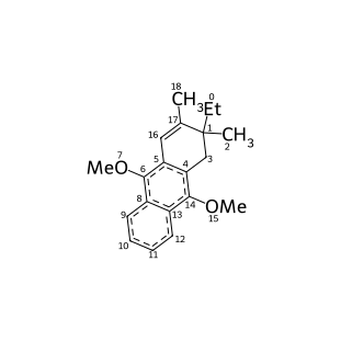 CCC1(C)Cc2c(c(OC)c3ccccc3c2OC)C=C1C